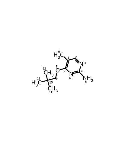 Cc1cnc(N)nc1OCC(C)(C)C